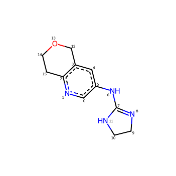 c1nc2c(cc1NC1=NCCN1)COCC2